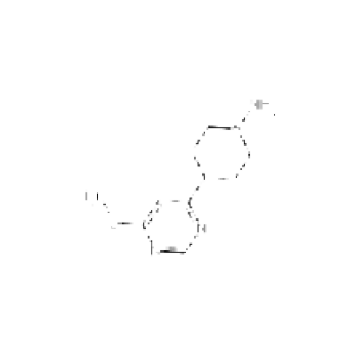 COc1cc(C2CCN(N)CC2)ncn1